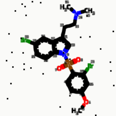 COc1ccc(S(=O)(=O)n2cc(CCN(C)C)c3cc(Br)ccc32)c(Br)c1